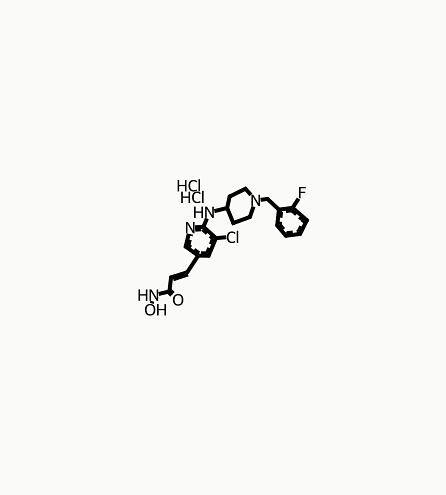 Cl.Cl.O=C(/C=C/c1cnc(NC2CCN(Cc3ccccc3F)CC2)c(Cl)c1)NO